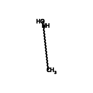 CCCCCCCCCCCCCCCCCCCCCCCCCCCCCCNCCO